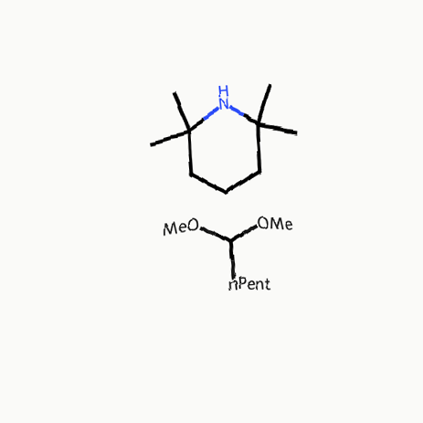 CC1(C)CCCC(C)(C)N1.CCCCCC(OC)OC